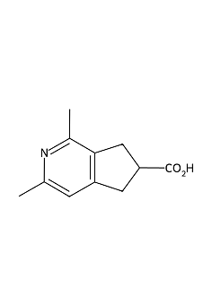 Cc1cc2c(c(C)n1)CC(C(=O)O)C2